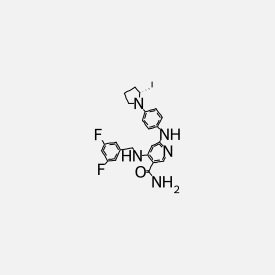 CC[C@H]1CCCN1c1ccc(Nc2cc(NCc3cc(F)cc(F)c3)c(C(N)=O)cn2)cc1